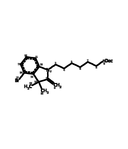 C=C1N(CCCCCCCCCCCCCCCC)c2cccc(Br)c2C1(C)C